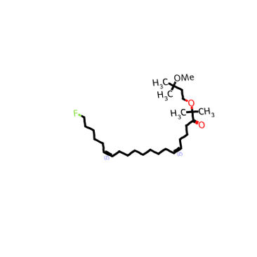 COC(C)(C)CCOC(C)(C)C(=O)CCC/C=C\CCCCCCC/C=C\CCCCCF